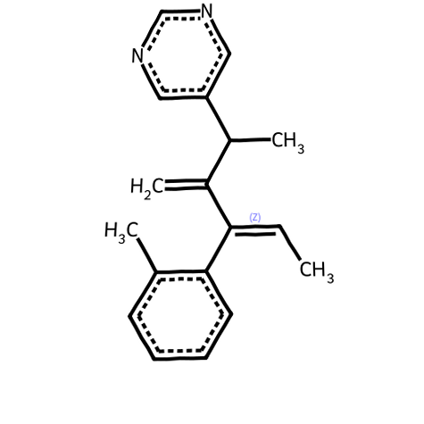 C=C(/C(=C/C)c1ccccc1C)C(C)c1cncnc1